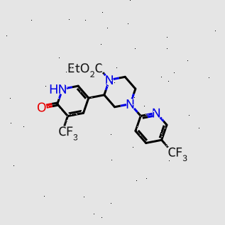 CCOC(=O)N1CCN(c2ccc(C(F)(F)F)cn2)CC1c1c[nH]c(=O)c(C(F)(F)F)c1